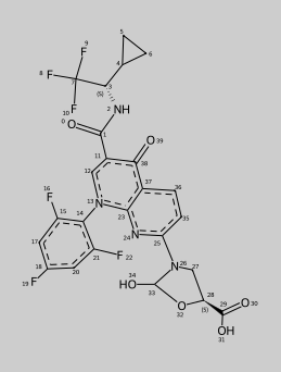 O=C(N[C@@H](C1CC1)C(F)(F)F)c1cn(-c2c(F)cc(F)cc2F)c2nc(N3C[C@@H](C(=O)O)OC3O)ccc2c1=O